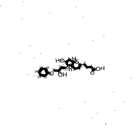 O=C(O)CCC[C@H]1CC[C@@H]2[C@@H](/C=C/[C@@H](O)COc3ccccc3)[C@H](O)C[C@@H]2S1